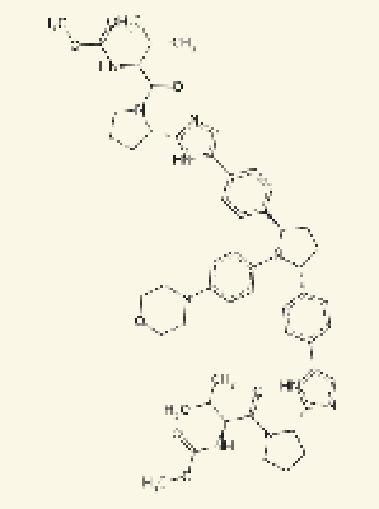 COC(=O)N[C@H](C(=O)N1CCC[C@H]1c1ncc(-c2ccc([C@H]3CC[C@H](c4ccc(-c5cnc([C@@H]6CCCN6C(=O)[C@@H](NC(=O)OC)C(C)C)[nH]5)cc4)N3c3ccc(N4CCOCC4)cc3)cc2)[nH]1)C(C)C